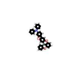 c1ccc(N(c2ccccc2)c2ccc3c(c2)oc2cc4c(cc23)Oc2cccc3c2B4c2ccccc2O3)cc1